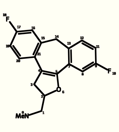 CNCC1CC2=C(O1)c1cc(F)ccc1Cc1cc(F)ccc12